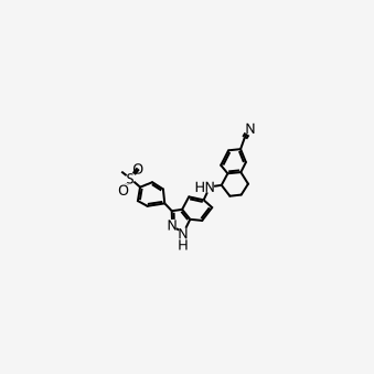 CS(=O)(=O)c1ccc(-c2n[nH]c3ccc(NC4CCCc5cc(C#N)ccc54)cc23)cc1